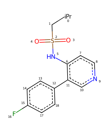 CC(C)CS(=O)(=O)Nc1ccncc1-c1ccc(F)cc1